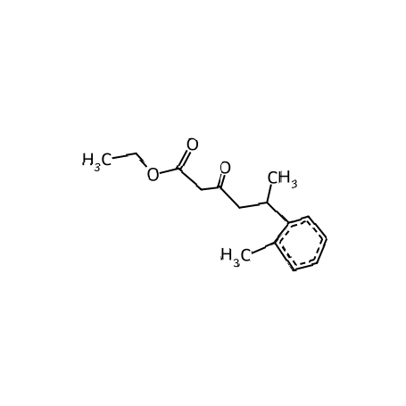 CCOC(=O)CC(=O)CC(C)c1ccccc1C